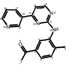 Cc1ccc(C(=O)I)cc1Nc1nccc(-c2cccnc2)n1